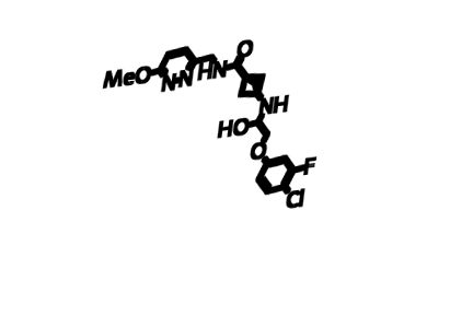 COc1ccc(CNC(=O)C23CC(NC(O)COc4ccc(Cl)c(F)c4)(C2)C3)nn1